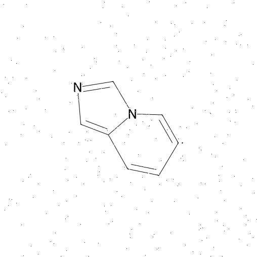 [c]1ccc2cncn2c1